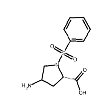 NC1C[C@@H](C(=O)O)N(S(=O)(=O)c2ccccc2)C1